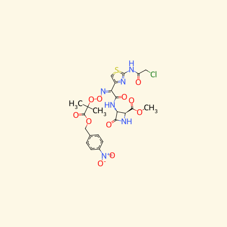 COC(=O)[C@H]1NC(=O)[C@H]1NC(=O)C(=NOOC(C)(C)C(=O)OCc1ccc([N+](=O)[O-])cc1)c1csc(NC(=O)CCl)n1